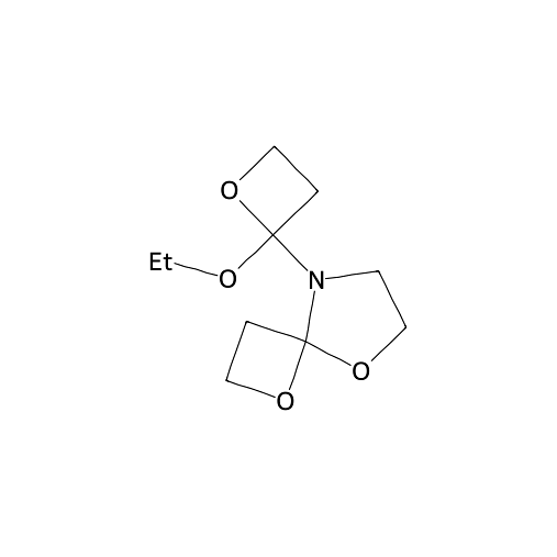 [CH2]COC1(N2CCOC23CCO3)CCO1